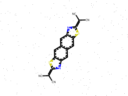 N#CC(C#N)=c1nc2cc3cc4sc(=C(C#N)C#N)nc4cc3cc2s1